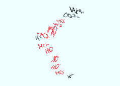 [Co+2].[Li+].[Ni+2].[OH-].[OH-].[OH-].[OH-].[OH-].[OH-].[OH-].[OH-].[OH-].[W+4]